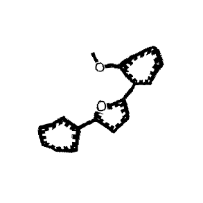 COc1ccccc1-c1ccc(-c2ccccc2)o1